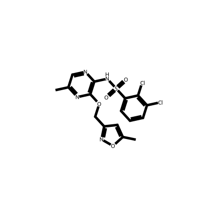 Cc1cnc(NS(=O)(=O)c2cccc(Cl)c2Cl)c(OCc2cc(C)on2)n1